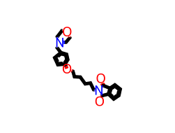 O=C1c2ccccc2C(=O)N1CCCCCCOc1ccc(CN2CCOCC2)cc1